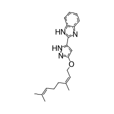 CC(C)=CCCC(C)=CCOc1cc(-c2nc3ccccc3[nH]2)[nH]n1